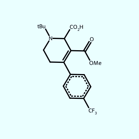 COC(=O)C1=C(c2ccc(C(F)(F)F)cc2)CCN(C(C)(C)C)C1C(=O)O